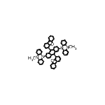 CN1c2ccccc2N(c2ccc3c(-c4cccc5c4oc4ccccc45)c4cc(N5c6ccccc6N(C)c6ccccc65)ccc4c(-c4cccc5c4oc4ccccc45)c3c2)c2ccccc21